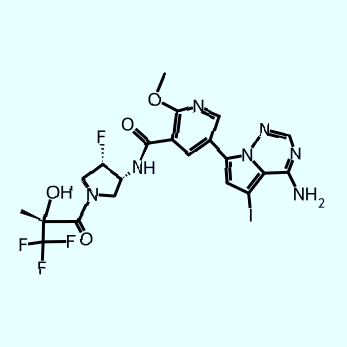 COc1ncc(-c2cc(I)c3c(N)ncnn23)cc1C(=O)N[C@@H]1CN(C(=O)[C@@](C)(O)C(F)(F)F)C[C@@H]1F